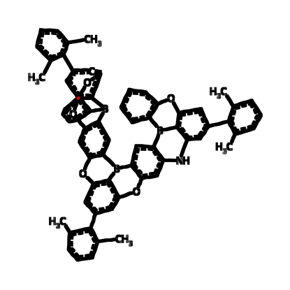 Cc1cccc(C)c1-c1cc2c3c(c1)Oc1ccccc1B3c1cc3c(cc1N2)Oc1cc(-c2c(C)cccc2C)cc2c1B3c1cc3c(cc1O2)Oc1cc(-c2c(C)cccc2C)cc2c1B3c1ccccc1O2